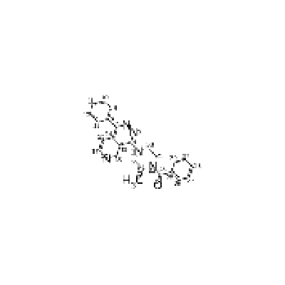 C[C@H]1CN(c2nnc(-c3ccccc3)c3ccncc23)CCN1C(=O)c1ccccc1